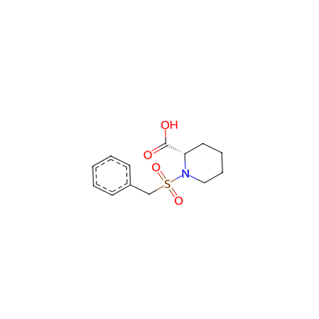 O=C(O)[C@@H]1CCCCN1S(=O)(=O)Cc1ccccc1